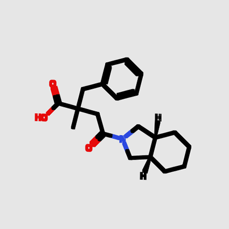 CC(CC(=O)N1C[C@H]2CCCC[C@H]2C1)(Cc1ccccc1)C(=O)O